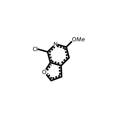 COc1cc2ccoc2c(Cl)n1